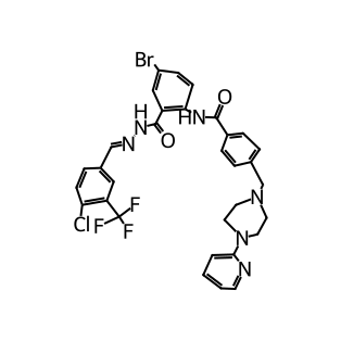 O=C(Nc1ccc(Br)cc1C(=O)N/N=C/c1ccc(Cl)c(C(F)(F)F)c1)c1ccc(CN2CCN(c3ccccn3)CC2)cc1